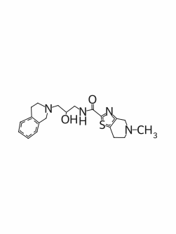 CN1CCc2sc(C(=O)NCC(O)CN3CCc4ccccc4C3)nc2C1